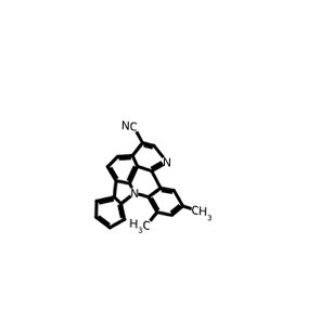 Cc1cc(C)c2c(c1)c1ncc(C#N)c3ccc4c5ccccc5n2c4c31